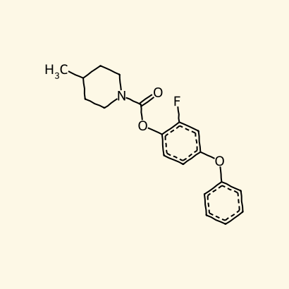 CC1CCN(C(=O)Oc2ccc(Oc3ccccc3)cc2F)CC1